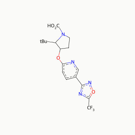 CC(C)(C)C1C(Oc2ccc(-c3noc(C(F)(F)F)n3)cn2)CCN1C(=O)O